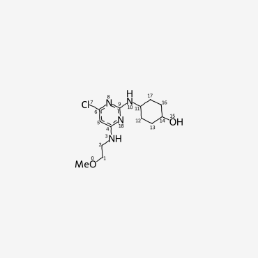 COCCNc1cc(Cl)nc(NC2CCC(O)CC2)n1